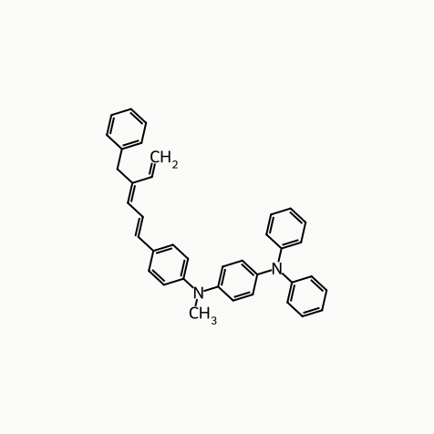 C=C/C(=C\C=C\c1ccc(N(C)c2ccc(N(c3ccccc3)c3ccccc3)cc2)cc1)Cc1ccccc1